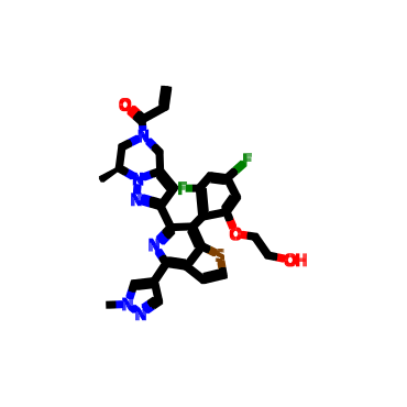 C=CC(=O)N1Cc2cc(-c3nc(-c4cnn(C)c4)c4ccsc4c3-c3c(F)cc(F)cc3OCCO)nn2[C@@H](C)C1